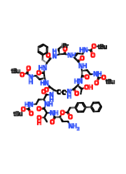 CC(C)C[C@@H]1NC(=O)[C@@H](Cc2ccccc2)NC(=O)[C@H](CCNC(=O)OC(C)(C)C)NC(=O)[C@@H](NC(=O)[C@H](CCNC(=O)OC(C)(C)C)NC(=O)[C@@H](NC(=O)[C@H](CCN)OC(=O)Cc2ccc(-c3ccccc3)cc2)C(C)O)CCNC(=O)[C@H](C(C)O)NC(=O)[C@H](CCNC(=O)OC(C)(C)C)NC(=O)[C@H](CCNC(=O)OC(C)(C)C)NC1=O